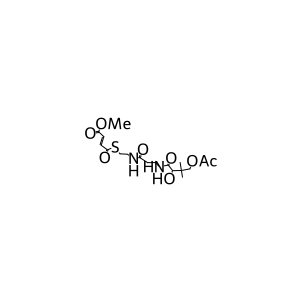 COC(=O)/C=C/C(=O)SCCNC(=O)CCNC(=O)[C@H](O)C(C)(C)COC(C)=O